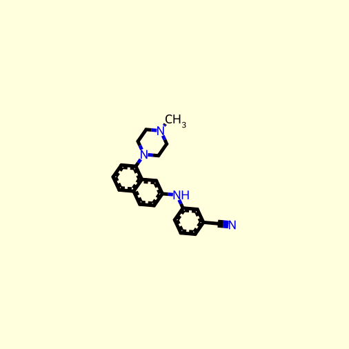 CN1CCN(c2cccc3ccc(Nc4cccc(C#N)c4)cc23)CC1